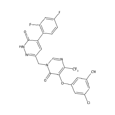 N#Cc1cc(Cl)cc(Oc2c(C(F)(F)F)ncn(Cc3cc(-c4ccc(F)cc4F)c(=O)[nH]n3)c2=O)c1